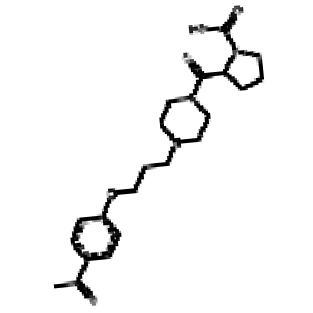 CC(=O)c1ccc(OCCCN2CCN(C(=O)[C@@H]3CCCN3C(=O)O)CC2)cc1